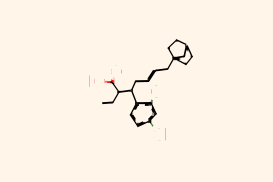 CCC(C(=O)O)C(CC=CCC12CCC(CC1)C2)c1ccc(Cl)cc1Cl